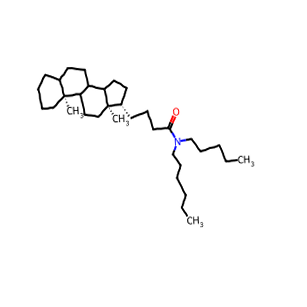 CCCCCCN(CCCCC)C(=O)CCC[C@H]1CCC2C3CCC4CCCC[C@]4(C)C3CC[C@@]21C